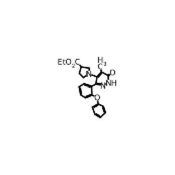 CCOC(=O)C1CCN(c2c(-c3ccccc3Oc3ccccc3)n[nH]c(=O)c2C)C1